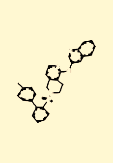 Cc1ccc(-c2ccccc2S(=O)(=O)N2CCc3c(ccnc3Nc3cnc4ccccc4c3)C2)cc1